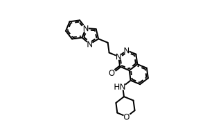 O=c1c2c(NC3CCOCC3)cccc2cnn1CCc1cn2ccccc2n1